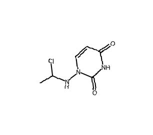 CC(Cl)Nn1ccc(=O)[nH]c1=O